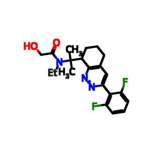 CCN(C(=O)CO)C(C)(C)C1CCCc2cc(-c3c(F)cccc3F)nnc21